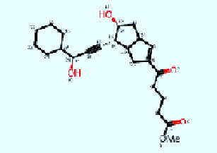 COC(=O)CCCC(=O)C1=CC2C[C@H](O)[C@@H](C#C[C@@H](O)C3CCCCC3)C2C1